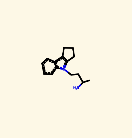 CC(N)CCn1c2c(c3ccccc31)CCC2